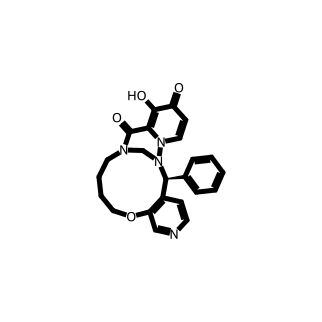 O=C1c2c(O)c(=O)ccn2N2CN1CCCCOc1cnccc1[C@@H]2c1ccccc1